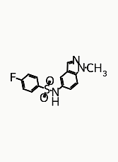 Cn1ncc2cc(NS(=O)(=O)c3ccc(F)cc3)ccc21